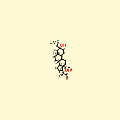 COC[C@@]1(O)CCC2C3CC[C@@]4(C)C(CC[C@]4(O)C(C)CBr)[C@@H]3CC[C@H]2C1